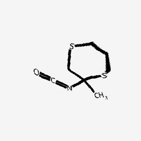 CC1(N=C=O)CSCCS1